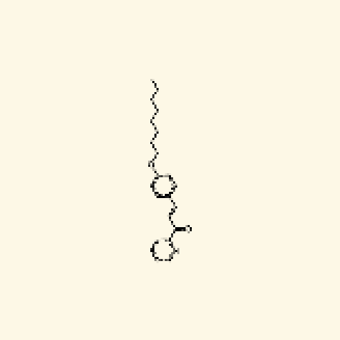 CCCCCCCCOc1ccc(/C=C/C(=O)c2ccccn2)cc1